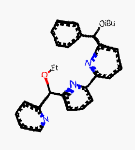 CCOC(c1ccccn1)c1cccc(-c2cccc(C(OCC(C)C)c3ccccc3)n2)n1